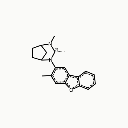 Cc1cc2oc3ccccc3c2cc1N1C2CCC(C2)N(C)[C@@H]1C